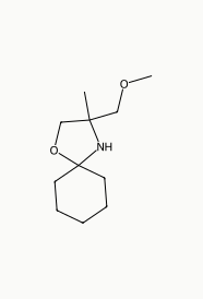 COCC1(C)COC2(CCCCC2)N1